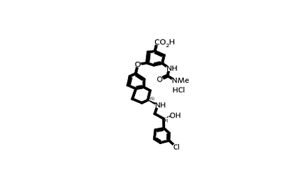 CNC(=O)Nc1cc(Oc2ccc3c(c2)C[C@@H](NC[C@H](O)c2cccc(Cl)c2)CC3)cc(C(=O)O)c1.Cl